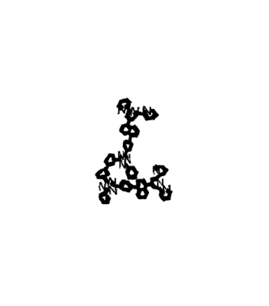 c1ccc(-c2nc(-c3ccc(-c4cccc5c(-c6cc(-c7ccccn7)nc(-c7ccccn7)c6)cccc45)cc3)nc(-c3cccc(-c4cccc(-c5nc(-c6ccccc6)nc(-c6ccc(-c7ccc(-c8cc(-c9ccccn9)nc(-c9ccccn9)c8)c8ccccc78)cc6)n5)c4)c3)n2)cc1